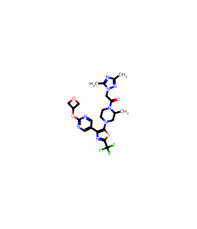 Cc1nc(C)n(CC(=O)N2CCN(c3sc(C(F)(F)F)nc3-c3cnc(OC4COC4)nc3)CC2C)n1